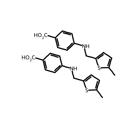 Cc1ccc(CNc2ccc(C(=O)O)cc2)s1.Cc1ccc(CNc2ccc(C(=O)O)cc2)s1